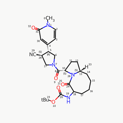 Cn1ccc([C@@H]2CN(C(=O)[C@@H]3CC[C@@H]4CCCCC(NC(=O)OC(C)(C)C)C(=O)N43)C[C@H]2C#N)cc1=O